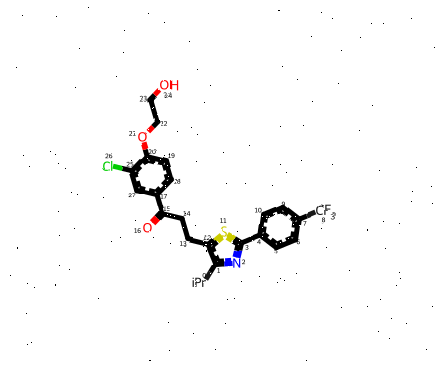 CC(C)c1nc(-c2ccc(C(F)(F)F)cc2)sc1CCC(=O)c1ccc(OCCO)c(Cl)c1